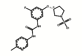 CCS(=O)(=O)N1CC[C@@H](Oc2cc(F)cc(NC(=O)Nc3ccc(C)nc3)c2)C1